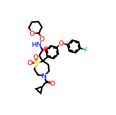 O=C(CC1(c2ccc(Oc3ccc(F)cc3)cc2)CCN(C(=O)C2CC2)CCS1(=O)=O)NOC1CCCCO1